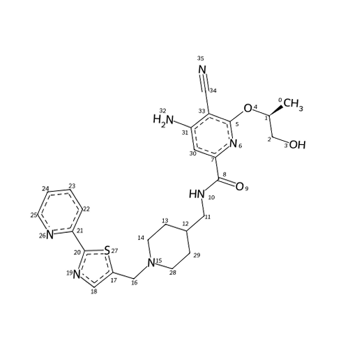 C[C@@H](CO)Oc1nc(C(=O)NCC2CCN(Cc3cnc(-c4ccccn4)s3)CC2)cc(N)c1C#N